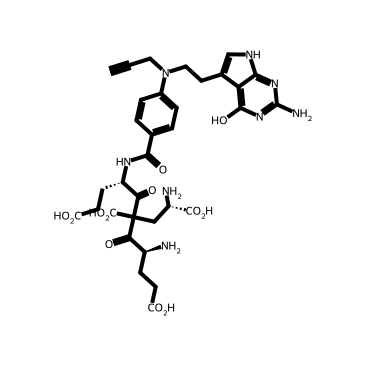 C#CCN(CCc1c[nH]c2nc(N)nc(O)c12)c1ccc(C(=O)N[C@@H](CCC(=O)O)C(=O)C(C[C@H](N)C(=O)O)(C(=O)O)C(=O)[C@@H](N)CCC(=O)O)cc1